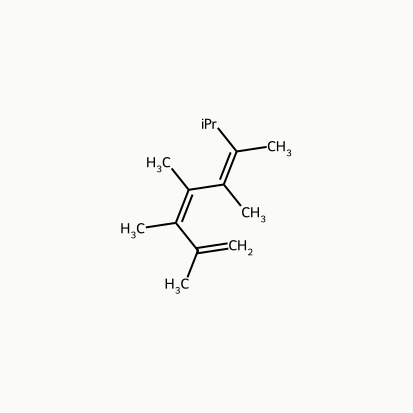 C=C(C)/C(C)=C(C)\C(C)=C(\C)C(C)C